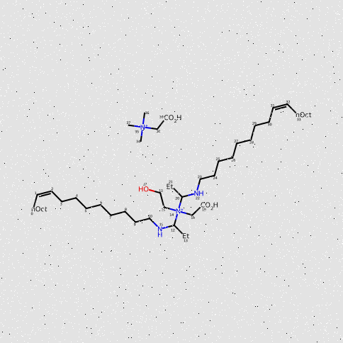 CCCCCCCC/C=C\CCCCCCCCNC(CC)[N+](CCO)(CC(=O)O)C(CC)NCCCCCCCC/C=C\CCCCCCCC.C[N+](C)(C)CC(=O)O